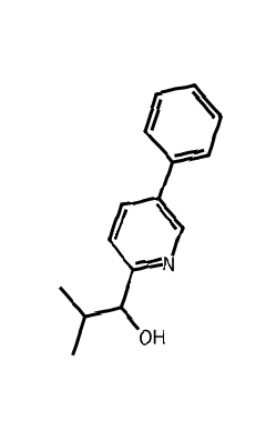 CC(C)C(O)c1ccc(-c2ccccc2)cn1